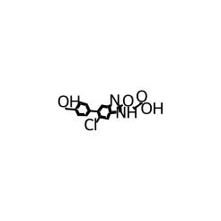 O=C(O)COc1nc2cc(-c3ccc(CO)cc3)c(Cl)cc2[nH]1